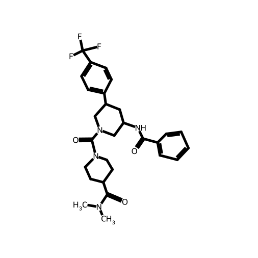 CN(C)C(=O)C1CCN(C(=O)N2CC(NC(=O)c3ccccc3)CC(c3ccc(C(F)(F)F)cc3)C2)CC1